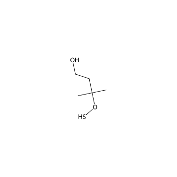 CC(C)(CCO)OS